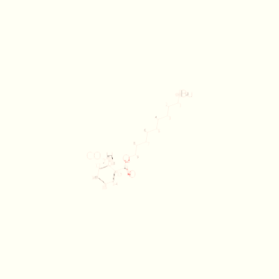 CCC(C)CCCCCCCCCOC(=O)c1ccccc1C(=O)O